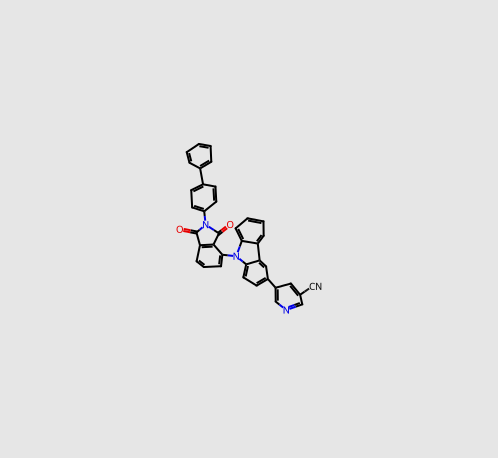 N#Cc1cncc(-c2ccc3c(c2)c2ccccc2n3-c2cccc3c2C(=O)N(c2ccc(-c4ccccc4)cc2)C3=O)c1